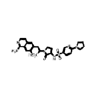 CCOC(=O)C(Cc1cc2ccnc(N)c2cc1CC)N1CCC(NS(=O)(=O)c2ccc(N3CCCC3)nc2)C1=O